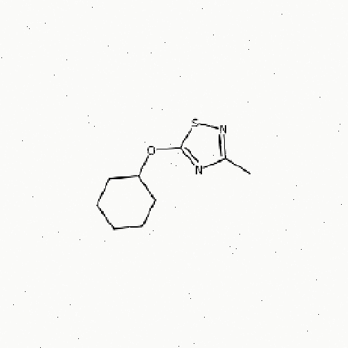 Cc1nsc(OC2CCCCC2)n1